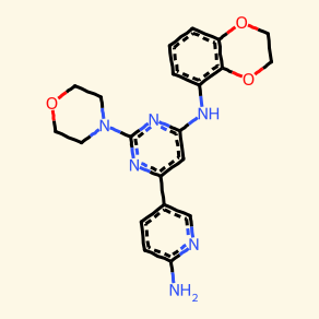 Nc1ccc(-c2cc(Nc3cccc4c3OCCO4)nc(N3CCOCC3)n2)cn1